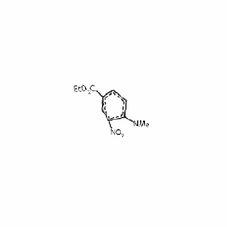 CCOC(=O)c1ccc(NC)c([N+](=O)[O-])c1